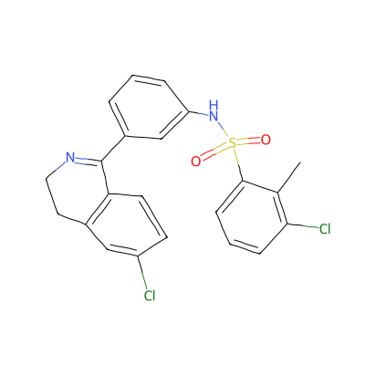 Cc1c(Cl)cccc1S(=O)(=O)Nc1cccc(C2=NCCc3cc(Cl)ccc32)c1